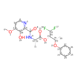 COc1ccnc(C(=O)N[C@@H](C)C(=O)O[C@H](C(F)F)[C@H](C)Oc2ccccc2)c1O